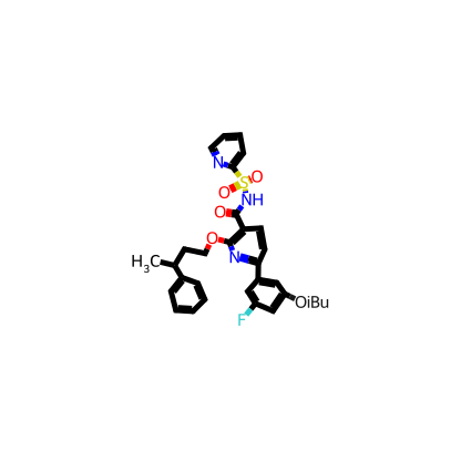 CC(C)COc1cc(F)cc(-c2ccc(C(=O)NS(=O)(=O)c3ccccn3)c(OCCC(C)c3ccccc3)n2)c1